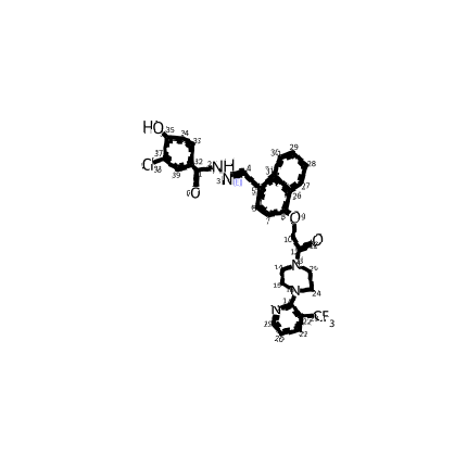 O=C(N/N=C/c1ccc(OCC(=O)N2CCN(c3ncccc3C(F)(F)F)CC2)c2ccccc12)c1ccc(O)c(Cl)c1